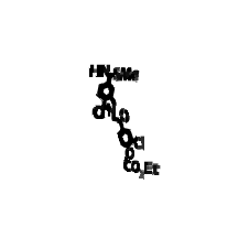 CCOC(=O)COc1ccc(C(=O)CN2Cc3cc(C(=N)SC)ccc3C2=O)cc1Cl